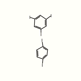 Ic1cc(I)cc(I)c1.Ic1ccc(I)cc1